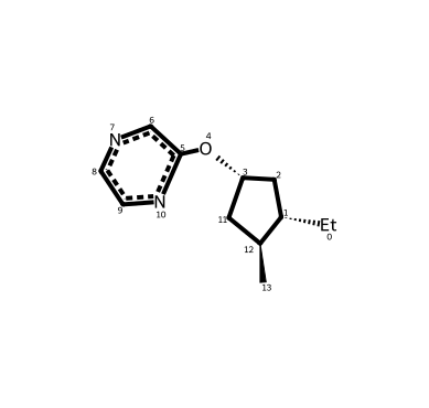 CC[C@H]1C[C@@H](Oc2cnccn2)C[C@@H]1C